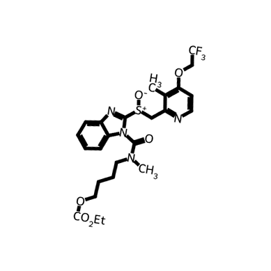 CCOC(=O)OCCCCN(C)C(=O)n1c([S+]([O-])Cc2nccc(OCC(F)(F)F)c2C)nc2ccccc21